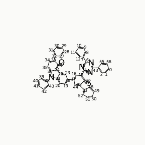 c1ccc(-c2nc(-c3ccccc3)nc(-c3cc(-c4ccc5c(c4)c4c6oc7ccccc7c6ccc4n5-c4ccccc4)cc4c3sc3ccccc34)n2)cc1